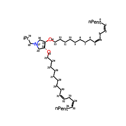 CCCCC/C=C\C/C=C\CCCCCCCCO[C@@H]1CN(CC(C)C)C[C@H]1OCCCCCCCC/C=C\C/C=C\CCCCC